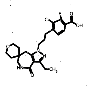 CCc1nn(CCCc2ccc(C(=O)O)c(F)c2Cl)c2c1C(=O)NCC1(CCOCC1)C2